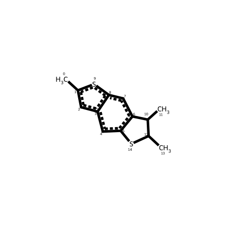 Cc1cc2cc3c(cc2s1)C(C)C(C)S3